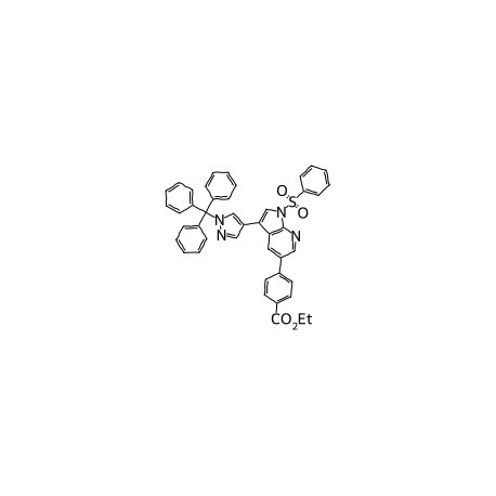 CCOC(=O)c1ccc(-c2cnc3c(c2)c(-c2cnn(C(c4ccccc4)(c4ccccc4)c4ccccc4)c2)cn3S(=O)(=O)c2ccccc2)cc1